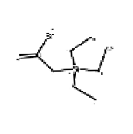 C=C(Br)C[Si](CC)(CC)CC